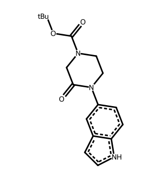 CC(C)(C)OC(=O)N1CCN(c2ccc3[nH]ccc3c2)C(=O)C1